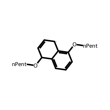 CCCCCOc1cccc2c1[CH]C=CC2OCCCCC